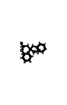 NC1(Cc2ccccc2)CN(I)Oc2ccccc21